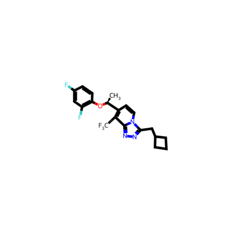 C[C@H](Oc1ccc(F)cc1F)c1ccn2c(CC3CCC3)nnc2c1C(F)(F)F